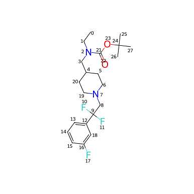 CCN(CC1CCN(CC(F)(F)c2cccc(F)c2)CC1)C(=O)OC(C)(C)C